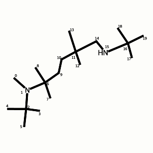 CN(C(C)(C)C)C(C)(C)CCC(C)(C)CNC(C)(C)C